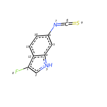 Fc1c[nH]c2cc(N=C=S)ccc12